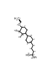 C=COC1CCC(C2CCC(CCCC(S)CCC)CC2)C(F)C1F